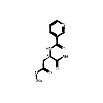 CC(C)(C)OC(=O)C[C@@H](NC(=O)c1cccnc1)C(=O)S